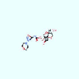 CC(=O)[C@]1(OOC(=O)[N-]c2c[n+](N3CCOCC3)no2)CO[C@@H]2[C@H](O)CO[C@@H]21